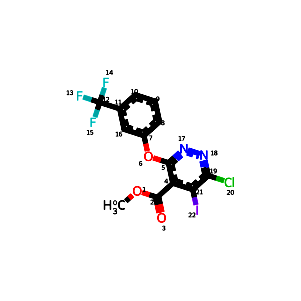 COC(=O)c1c(Oc2cccc(C(F)(F)F)c2)nnc(Cl)c1I